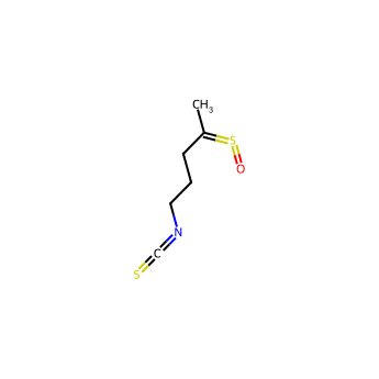 CC(CCCN=C=S)=S=O